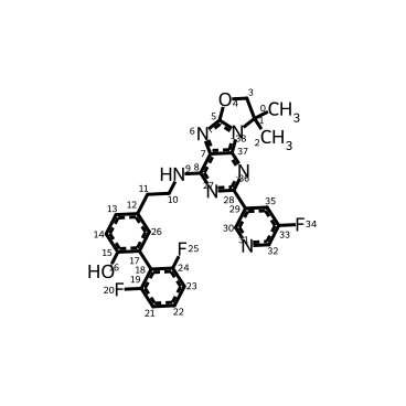 CC1(C)COc2nc3c(NCCc4ccc(O)c(-c5c(F)cccc5F)c4)nc(-c4cncc(F)c4)nc3n21